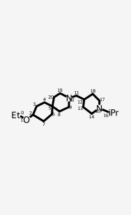 CCOC1CCC2(CC1)CCN(CC1CCN(C(C)C)CC1)CC2